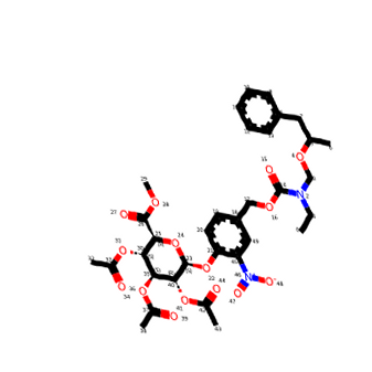 CCN(COC(C)Cc1ccccc1)C(=O)OCc1ccc(O[C@@H]2O[C@H](C(=O)OC)[C@@H](OC(C)=O)[C@H](OC(C)=O)[C@H]2OC(C)=O)c([N+](=O)[O-])c1